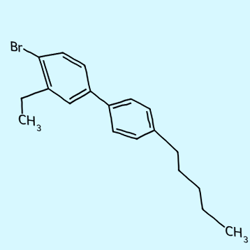 CCCCCc1ccc(-c2ccc(Br)c(CC)c2)cc1